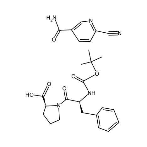 CC(C)(C)OC(=O)N[C@@H](Cc1ccccc1)C(=O)N1CCC[C@H]1C(=O)O.N#Cc1ccc(C(N)=O)cn1